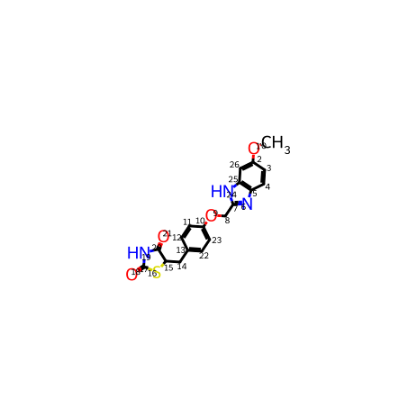 COc1ccc2nc(COc3ccc(CC4SC(=O)NC4=O)cc3)[nH]c2c1